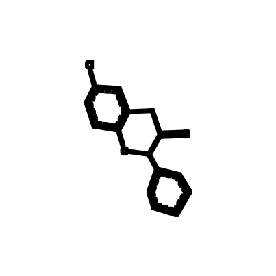 O=C1Cc2cc(Cl)ccc2OC1c1ccccc1